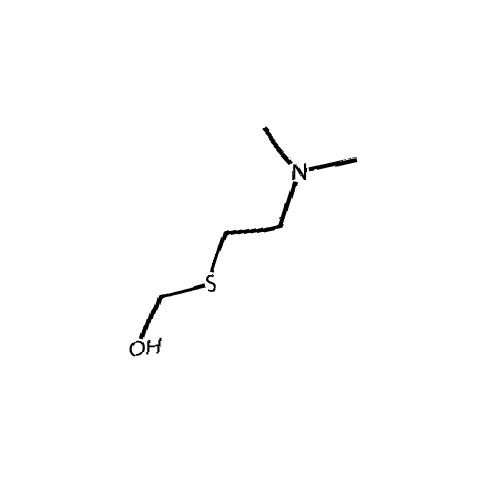 CN(C)CCSCO